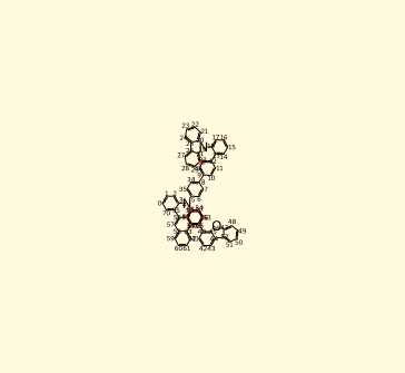 c1ccc(N(c2ccc(-c3ccc(-c4ccccc4-n4c5ccccc5c5ccccc54)cc3)cc2)c2ccc(-c3cccc4c3oc3ccccc34)cc2)c(-c2cc3ccccc3c3ccccc23)c1